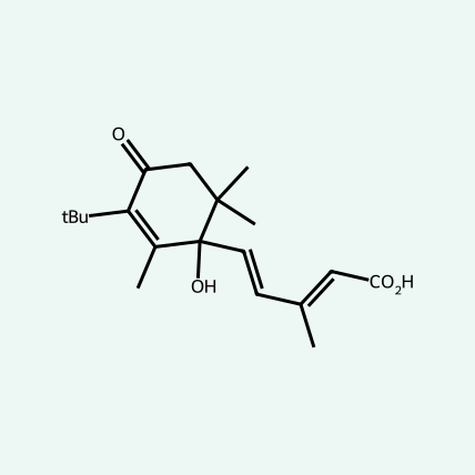 CC(C=CC1(O)C(C)=C(C(C)(C)C)C(=O)CC1(C)C)=CC(=O)O